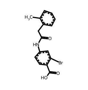 Cc1ccccc1CC(=O)Nc1ccc(C(=O)O)c(Br)c1